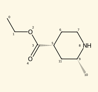 CCOC(=O)[C@@H]1CCN[C@H](C)C1